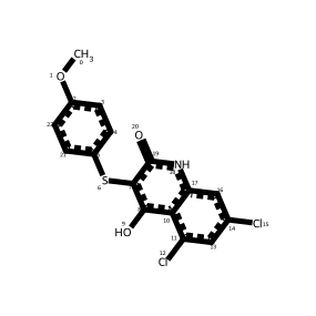 COc1ccc(Sc2c(O)c3c(Cl)cc(Cl)cc3[nH]c2=O)cc1